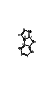 c1cnc2c(n1)sc1nccn12